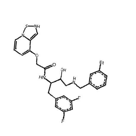 CCc1cccc(CNCC(O)C(Cc2cc(F)cc(F)c2)NC(=O)COC2=CC=CN3SNC=C23)c1